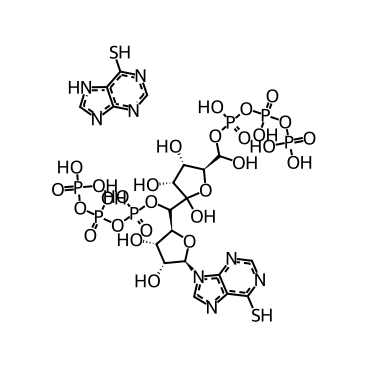 O=P(O)(O)OP(=O)(O)OP(=O)(O)OC(O)[C@H]1OC(O)(C(OP(=O)(O)OP(=O)(O)OP(=O)(O)O)[C@H]2O[C@@H](n3cnc4c(S)ncnc43)[C@H](O)[C@@H]2O)[C@H](O)[C@@H]1O.Sc1ncnc2nc[nH]c12